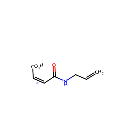 C=CCNC(=O)/C=C\C(=O)O